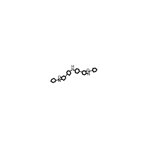 c1ccc(-c2nc3ccc(-c4ccc(Nc5ccc(-c6ccc7nc(-c8ccccc8)oc7c6)cc5)cc4)cc3o2)cc1